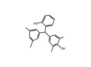 Cc1cc(C)cc(C(c2cc(C)c(O)c(C)c2)c2ccccc2O)c1